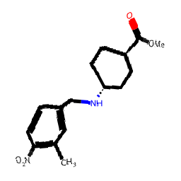 COC(=O)[C@H]1CC[C@H](NCc2ccc([N+](=O)[O-])c(C)c2)CC1